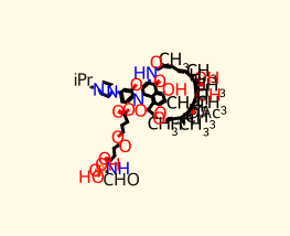 CC(=O)O[C@H]1[C@H](C)[C@H](O)[C@H](C)[C@@H](O)[C@@H](C)/C=C/C=C(/C)C(=O)Nc2c3oc4cc(N5CCN(CC(C)C)CC5)cc(OC(=O)CCCOC(=O)CCC(=O)NC(C=O)P(=O)(O)O)c4nc-3c3c4c(c(C)c(O)c3c2=O)O[C@](C)(O/C=C/[C@H](C)[C@H]1C)C4=O